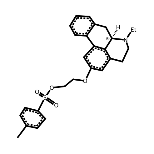 CCN1CCc2cc(OCCOS(=O)(=O)c3ccc(C)cc3)cc3c2[C@H]1Cc1ccccc1-3